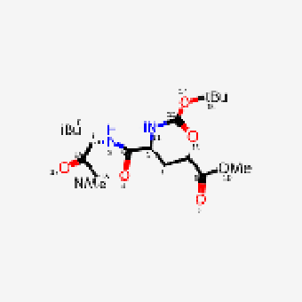 CC[C@H](C)[C@H](NC(=O)[C@H](CCC(=O)OC)NC(=O)OC(C)(C)C)C(=O)NC